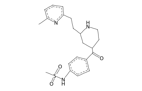 Cc1cccc(CCC2CC(C(=O)c3ccc(NS(C)(=O)=O)cc3)CCN2)n1